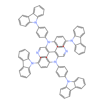 c1ccc2c(c1)c1ccccc1n2-c1ccc(N(c2ccc(-n3c4ccccc4c4ccccc43)cc2)c2cnccc2-c2ccncc2N(c2ccc(-n3c4ccccc4c4ccccc43)cc2)c2ccc(-n3c4ccccc4c4ccccc43)cc2)cc1